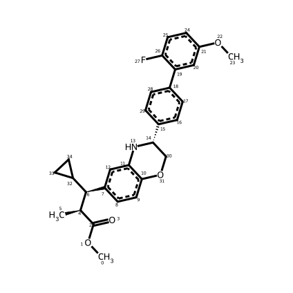 COC(=O)[C@@H](C)[C@H](c1ccc2c(c1)N[C@H](c1ccc(-c3cc(OC)ccc3F)cc1)CO2)C1CC1